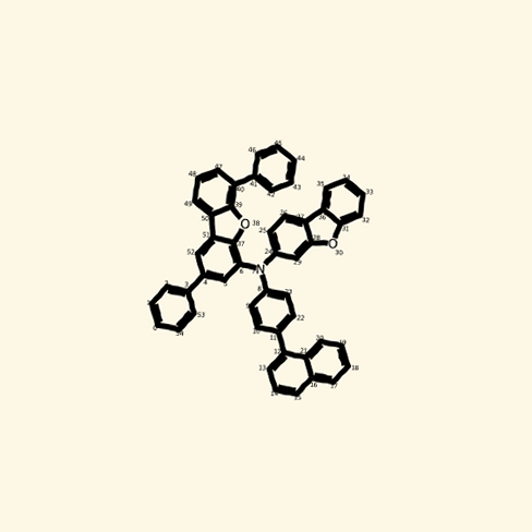 c1ccc(-c2cc(N(c3ccc(-c4cccc5ccccc45)cc3)c3ccc4c(c3)oc3ccccc34)c3oc4c(-c5ccccc5)cccc4c3c2)cc1